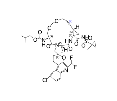 CC(C)COC(=O)N[C@H]1CCCCC/C=C\[C@@H]2C[C@@]2(C(=O)NS(=O)(=O)C2(C)CC2)NC(=O)[C@@H]2C[C@]3(CCc4c(c(C(F)F)nc5ccc(Cl)cc45)O3)CN2C1=O